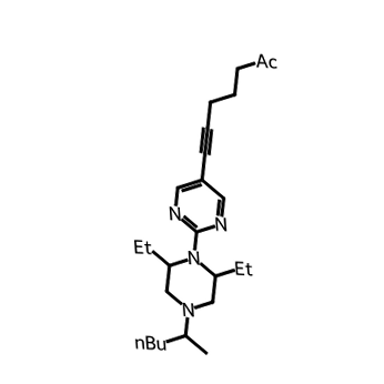 CCCCC(C)N1CC(CC)N(c2ncc(C#CCCCC(C)=O)cn2)C(CC)C1